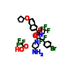 NC1CCN(C(=O)[C@@H](N(CC(F)(F)F)S(=O)(=O)c2ccc3cc(OC4CCCC4)ccc3c2)C(F)(F)c2ccc(Br)cc2)CC1.O=C(O)C(F)(F)F